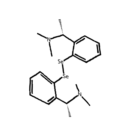 C[C@H](c1ccccc1[Se][Se]c1ccccc1[C@@H](C)N(C)C)N(C)C